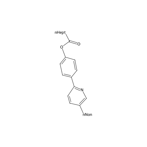 CCCCCCCCCc1ccc(-c2ccc(OC(=O)CCCCCCC)cc2)nc1